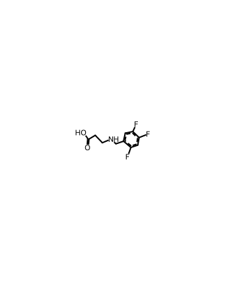 O=C(O)CCNCc1cc(F)c(F)cc1F